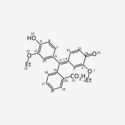 CCOC1=C/C(=C(/c2ccc(O)c(OCC)c2)c2ccccc2C(=O)O)C=CC1=O